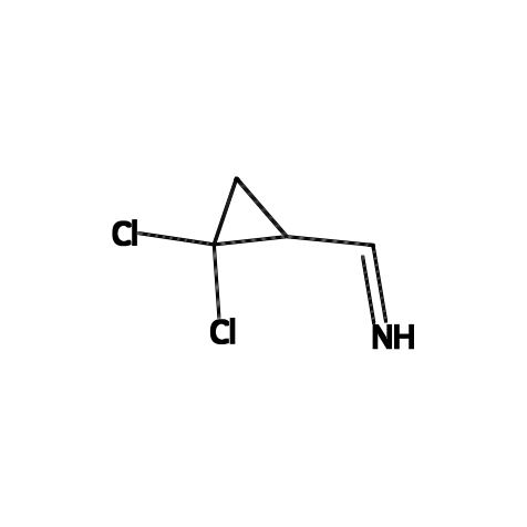 N=CC1CC1(Cl)Cl